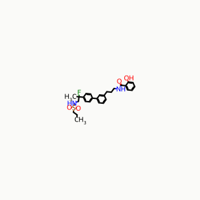 CCCS(=O)(=O)NCC(C)(F)c1ccc(-c2cccc(CCCNC(=O)c3ccccc3O)c2)cc1